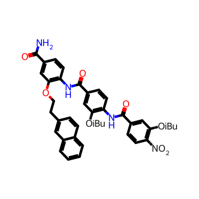 CC(C)COc1cc(C(=O)Nc2ccc(C(N)=O)cc2OCCc2ccc3ccccc3c2)ccc1NC(=O)c1ccc([N+](=O)[O-])c(OCC(C)C)c1